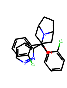 OC1(c2cccnn2)CC2CCC(C1)N2C(c1ccccc1Cl)c1ccccc1Cl